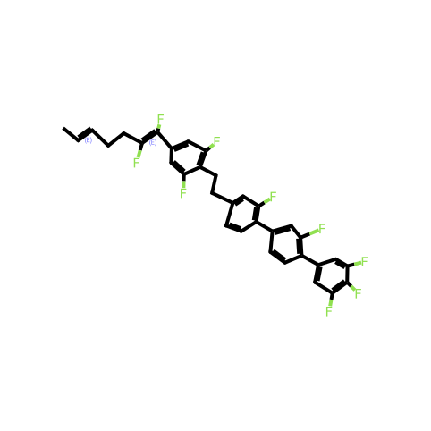 C/C=C/CC/C(F)=C(\F)c1cc(F)c(CCc2ccc(-c3ccc(-c4cc(F)c(F)c(F)c4)c(F)c3)c(F)c2)c(F)c1